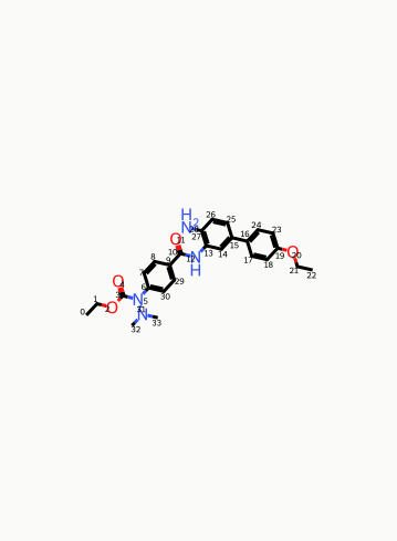 CCOC(=O)N(c1ccc(C(=O)Nc2cc(-c3ccc(OCC)cc3)ccc2N)cc1)N(C)C